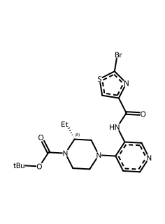 CC[C@@H]1CN(c2ccncc2NC(=O)c2csc(Br)n2)CCN1C(=O)OC(C)(C)C